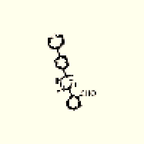 CN(NC(=O)c1ccc(-c2ccccc2)cc1)C(=O)c1ccccc1C=O